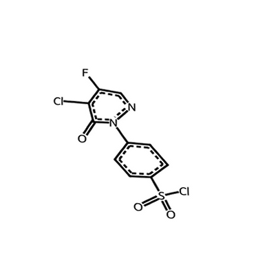 O=c1c(Cl)c(F)cnn1-c1ccc(S(=O)(=O)Cl)cc1